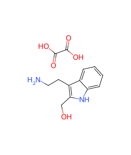 NCCc1c(CO)[nH]c2ccccc12.O=C(O)C(=O)O